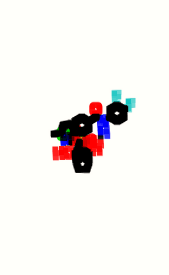 Cc1cccc(C(O)C(O)C2(O)C3CCC2CC(S(=O)(=O)c2cc(C(=O)Nc4ccc(F)c(F)c4)ccc2Cl)C3)n1